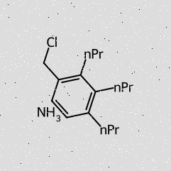 CCCc1ccc(CCl)c(CCC)c1CCC.N